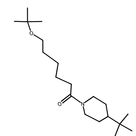 CC(C)(C)OCCCCCC(=O)N1CCC(C(C)(C)C)CC1